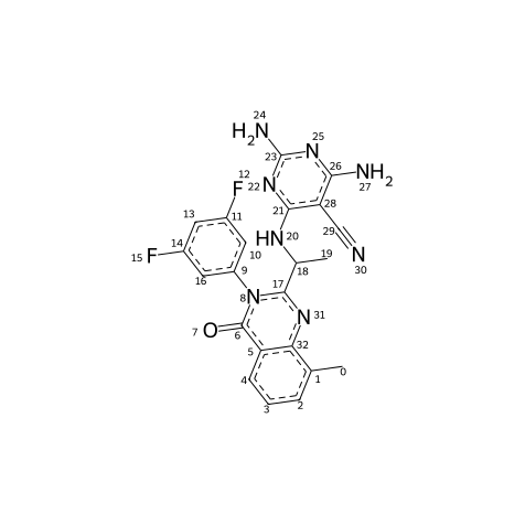 Cc1cccc2c(=O)n(-c3cc(F)cc(F)c3)c(C(C)Nc3nc(N)nc(N)c3C#N)nc12